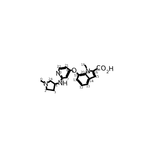 CN1CCC(Nc2cc(Oc3cccc4cc(C(=O)O)n(C)c34)ccn2)C1